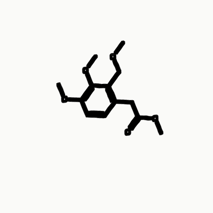 COCc1c(CC(=O)OC)ccc(OC)c1OC